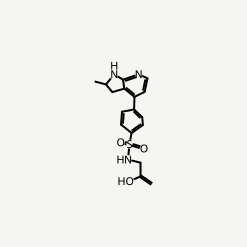 C=C(O)CNS(=O)(=O)c1ccc(-c2ccnc3c2CC(C)N3)cc1